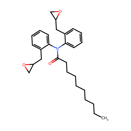 CCCCCCCCCC(=O)N(c1ccccc1CC1CO1)c1ccccc1CC1CO1